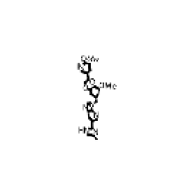 COc1ccc(C2COc3cc(Cn4cnc5cc(-c6nc(C)c[nH]6)cnc54)cc(OC)c3O2)cn1